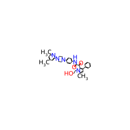 Cc1cc(C)nc(N2CCN(c3ccc(NC(=O)C(=O)c4c(-c5ccccc5)cc(C)n4CCO)cc3)CC2)c1